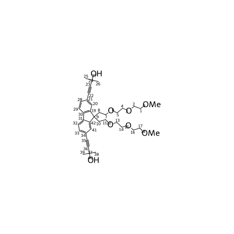 COCCOCCOCCC1(CCOCCOCCOC)c2cc(C#CC(C)(C)O)ccc2-c2ccc(C#CC(C)(C)O)cc21